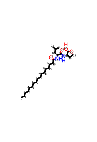 CCCCCCCCCCCCCCCCC(=O)N[C@@H](CC(C)C)C(=O)N[C@H]1CCOC1O